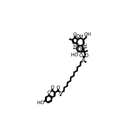 CC1=C[C@H]2[C@@]3(O)[C@H](C)[C@@H](O)[C@@]4(OC(=O)N(C)CCCCCCCCCCCCN(C)C(=O)c5cc6ccc(O)cc6oc5=O)C(C)(C)[C@@]4(C)[C@@H]3C=C(CO)C[C@]2(O)C1=O